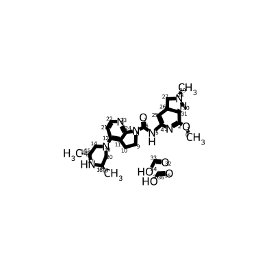 COC1=NC(NC(=O)N2CCc3c(N4C[C@@H](C)N[C@@H](C)C4)ccnc32)=CC2CN(C)N=C12.O=CO.O=CO